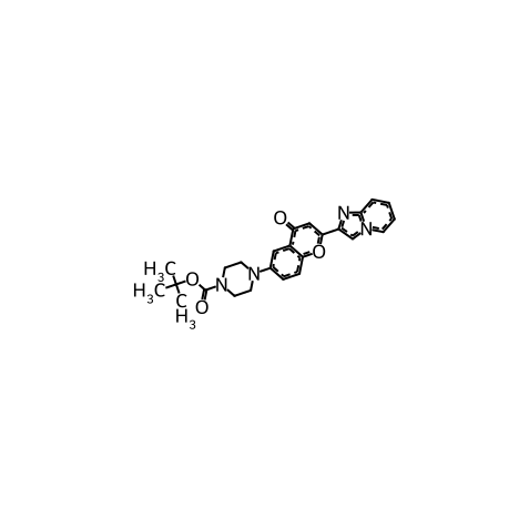 CC(C)(C)OC(=O)N1CCN(c2ccc3oc(-c4cn5ccccc5n4)cc(=O)c3c2)CC1